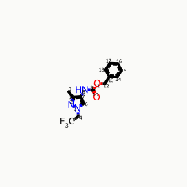 Cc1nn(CC(F)(F)F)cc1NC(=O)OCc1ccccc1